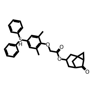 Cc1cc([SH](c2ccccc2)c2ccccc2)cc(C)c1OCC(=O)OC1CC2CC3(C1)CC3C2=O